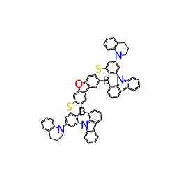 c1ccc2c(c1)CCCN2c1cc2c3c(c1)-n1c4ccccc4c4cccc(c41)B3c1cc3c(cc1S2)oc1cc2c(cc13)B1c3c(cc(N4CCCc5ccccc54)cc3-n3c4ccccc4c4cccc1c43)S2